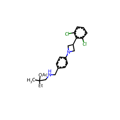 CCC(C)(CNCc1ccc(N2CC(c3c(Cl)cccc3Cl)C2)cc1)OC(C)=O